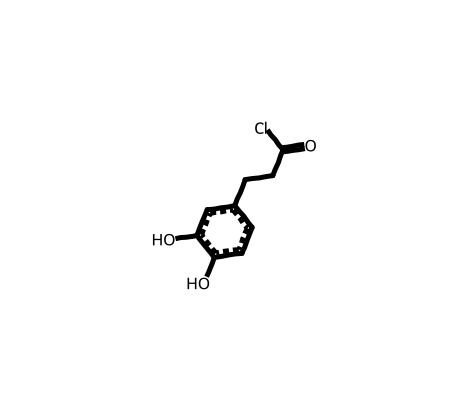 O=C(Cl)CCc1ccc(O)c(O)c1